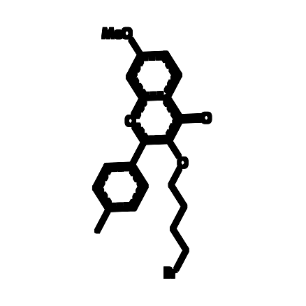 COc1ccc2c(=O)c(OCCCCBr)c(-c3ccc(C)cc3)oc2c1